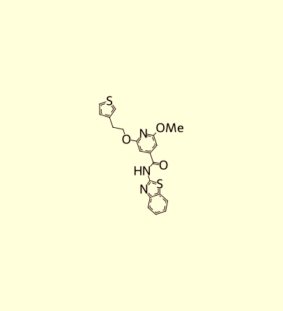 COc1cc(C(=O)Nc2nc3ccccc3s2)cc(OCCc2ccsc2)n1